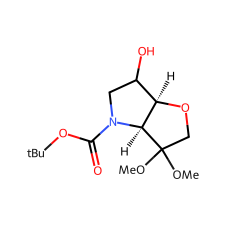 COC1(OC)CO[C@@H]2C(O)CN(C(=O)OC(C)(C)C)[C@@H]21